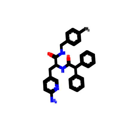 Nc1ccc(CC(NC(=O)C(c2ccccc2)c2ccccc2)C(=O)NCc2ccc(C(F)(F)F)cc2)cn1